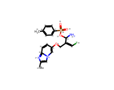 CCCCc1cn2cc(OCC(=CF)C(N)OS(=O)(=O)c3ccc(C)cc3)ccc2n1